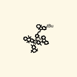 Cc1cc2c(cc1N1c3cc4c(cc3B3c5ccc(CCC6c7ccc(C(C)(C)C)cc7C7(C)CCCCC67C)cc5N5c6cccc7c6C(C)(c6ccccc6-7)c6c(C)cc1c3c65)C(C)(C)c1ccccc1C4(C)C)C(C)(C)CCC2(C)C